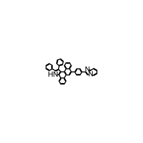 c1ccc(-c2[nH]c3c4ccccc4c4cc(-c5ccc(-c6cn7ccccc7n6)cc5)c5ccccc5c4c3c2-c2ccccc2)cc1